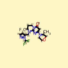 C[C@@H]1COCCN1c1cc(=O)n2c(n1)N(Cc1ccnn1C(F)F)[C@H](C(F)(F)F)CC2